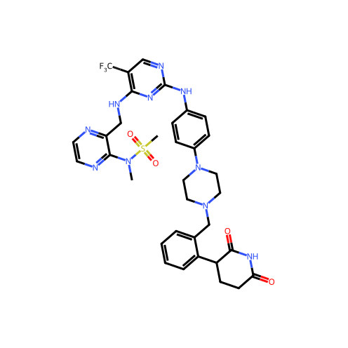 CN(c1nccnc1CNc1nc(Nc2ccc(N3CCN(Cc4ccccc4C4CCC(=O)NC4=O)CC3)cc2)ncc1C(F)(F)F)S(C)(=O)=O